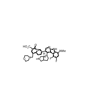 CNc1cc(F)c(F)c2c1[nH]c1ncc(-c3ccc4c(CN5CCOCC5)cc(C(=O)O)c(=O)n4c3)c(N3CCC4CN(C)C[C@H]43)c12